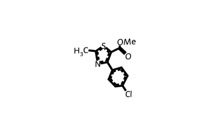 COC(=O)c1sc(C)nc1-c1ccc(Cl)cc1